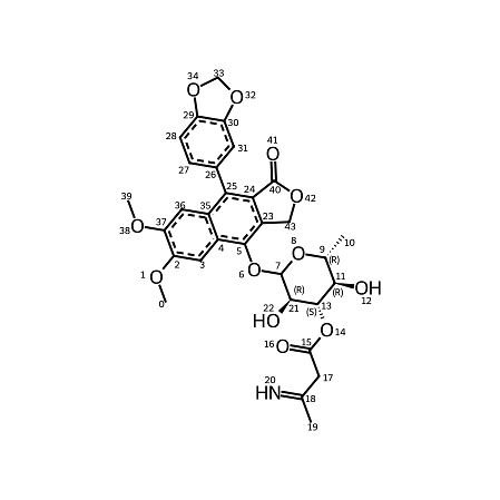 COc1cc2c(OC3O[C@H](C)[C@@H](O)[C@H](OC(=O)CC(C)=N)[C@H]3O)c3c(c(-c4ccc5c(c4)OCO5)c2cc1OC)C(=O)OC3